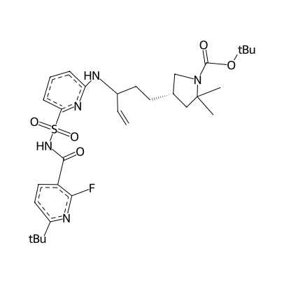 C=CC(CC[C@@H]1CN(C(=O)OC(C)(C)C)C(C)(C)C1)Nc1cccc(S(=O)(=O)NC(=O)c2ccc(C(C)(C)C)nc2F)n1